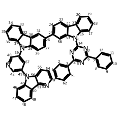 c1ccc(-c2nc(-c3ccccc3)nc(-n3c4ccccc4c4ccc(-c5ccc6c(c5)c5ccccc5n6-c5cncc(-n6c7ccccc7c7ncccc76)c5)cc43)n2)cc1